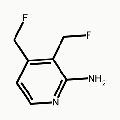 Nc1nccc(CF)c1CF